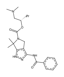 CC(C)[C@@H](CN(C)C)OC(=O)N1Cc2c(NC(=O)c3ccccc3)n[nH]c2C1(C)C